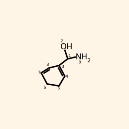 NC(O)C1=CCCC=C1